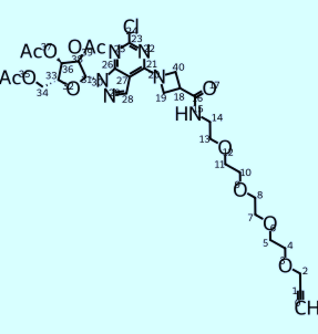 C#CCOCCOCCOCCOCCNC(=O)C1CN(c2nc(Cl)nc3c2cnn3[C@@H]2O[C@H](COC(C)=O)[C@@H](OC(C)=O)[C@H]2OC(C)=O)C1